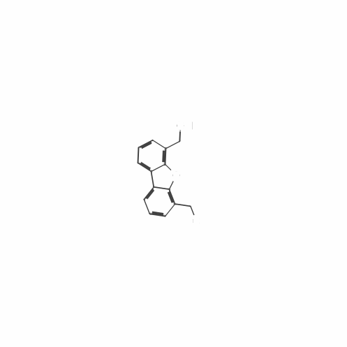 OCc1cccc2c1oc1c(CO)cccc12